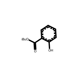 CC(C)COC(=O)c1ccccc1O